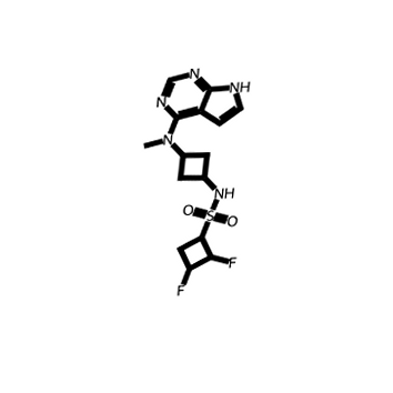 CN(c1ncnc2[nH]ccc12)C1CC(NS(=O)(=O)C2CC(F)C2F)C1